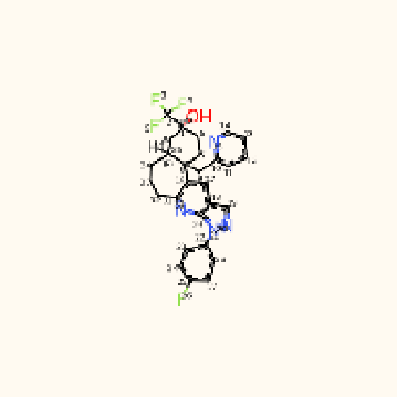 O[C@]1(C(F)(F)F)CC[C@]2(Cc3ccccn3)c3cc4cnn(-c5ccc(F)cc5)c4nc3CCC[C@@H]2C1